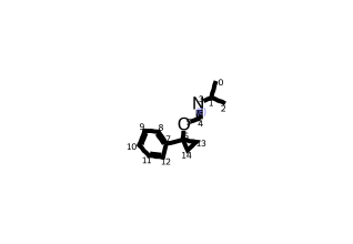 CC(C)/N=C/OC1(c2ccccc2)CC1